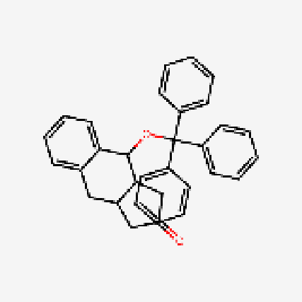 O=C1CC2Cc3ccccc3C(OC(c3ccccc3)(c3ccccc3)c3ccccc3)C2C1